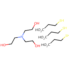 O=C(O)CCS.O=C(O)CCS.O=C(O)CCS.OCCN(CCO)CCO